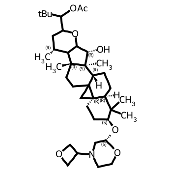 CC(=O)OC(C1C[C@@H](C)C2C(O1)[C@H](O)[C@@]1(C)[C@@H]3CC[C@H]4C(C)(C)[C@@H](O[C@H]5CN(C6COC6)CCO5)CC[C@@]45CC35CC[C@]21C)C(C)(C)C